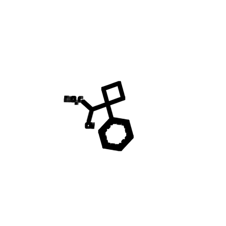 CCOC(=O)C(C#N)C1(c2ccccc2)CCC1